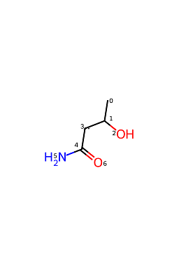 CC(O)[CH]C(N)=O